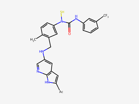 CC(=O)c1cc2cc(NCc3cc(N(S)C(=O)Nc4cccc(C(F)(F)F)c4)ccc3C)cnc2[nH]1